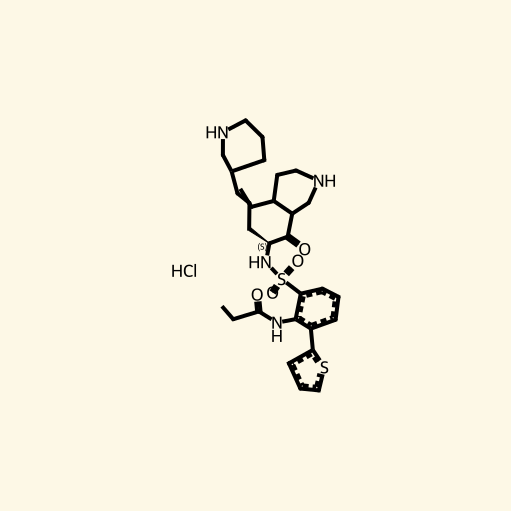 CCC(=O)Nc1c(-c2cccs2)cccc1S(=O)(=O)N[C@@H](CCCC1CCCNC1)C(=O)C1CNCCC1CC.Cl